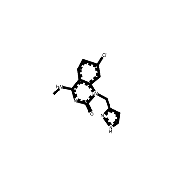 CNc1nc(=O)n(Cc2cc[nH]n2)c2cc(Cl)ccc12